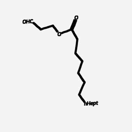 CCCCCCCCCCCCCC(=O)OCCC=O